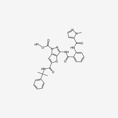 CCCOC(=O)n1nc(NC(=O)c2ccccc2NC(=O)c2ccnn2C)c2oc(C(=O)NC(C)(C)c3ccccc3)cc21